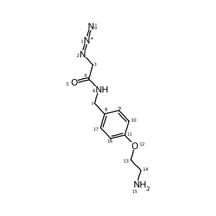 [N-]=[N+]=NCC(=O)NCc1ccc(OCCN)cc1